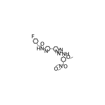 CCOc1cc(C(=O)N2CCOCC2)ccc1Nc1nc2ccc(-c3ccc(NC(=O)Cc4ccc(F)cc4)nc3)cn2n1